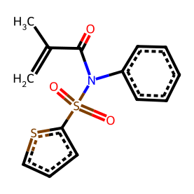 C=C(C)C(=O)N(c1ccccc1)S(=O)(=O)c1cccs1